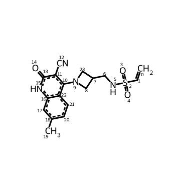 C=CS(=O)(=O)NCC1CN(c2c(C#N)c(=O)[nH]c3cc(C)ccc23)C1